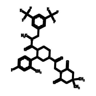 Cc1cc(F)ccc1C1CN(C(=O)CN2C(=O)CC(C)(C)CC2=O)CCC1C(=O)N(C)Cc1cc(C(F)(F)F)cc(C(F)(F)F)c1